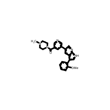 COc1ccccc1-c1c[nH]c2ncc(-c3cncc(C(=O)N4CCN(C)CC4)c3)cc12